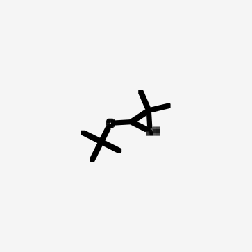 CC(C)(C)OC1NC1(C)C